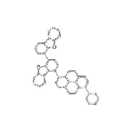 c1ccc(-c2ccc3ccc4c(-c5ccc(-c6cccc7c6oc6ccccc67)c6oc7ccccc7c56)ccc5ccc2c3c54)cc1